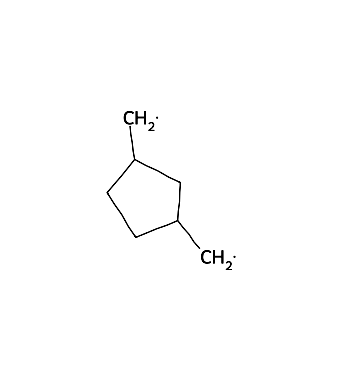 [CH2]C1CCC([CH2])C1